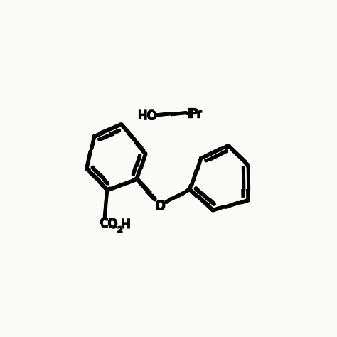 CC(C)O.O=C(O)c1ccccc1Oc1ccccc1